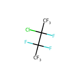 FC(F)(F)C(F)(F)C(F)(Cl)C(F)(F)F